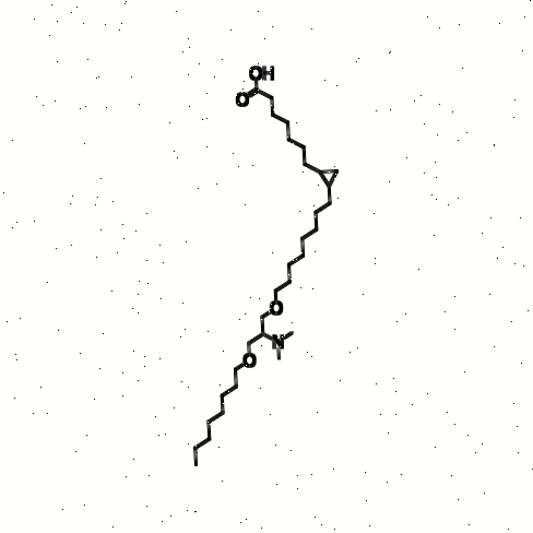 CCCCCCCCOCC(COCCCCCCCCC1CC1CCCCCCC(=O)O)N(C)C